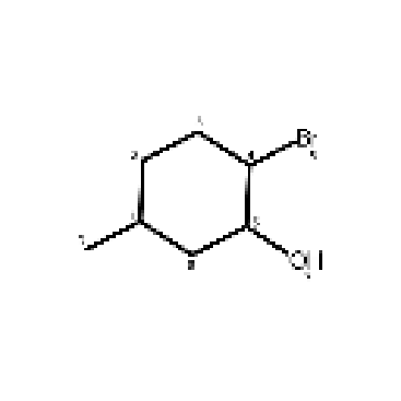 CC1CCC(Br)C(O)C1